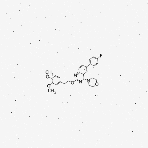 COc1ccc(CCOc2nc(N3CCOCC3)c3cc(-c4ccc(F)cc4)ccc3n2)cc1OC